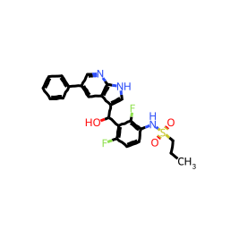 CCCS(=O)(=O)Nc1ccc(F)c(C(O)c2c[nH]c3ncc(-c4ccccc4)cc23)c1F